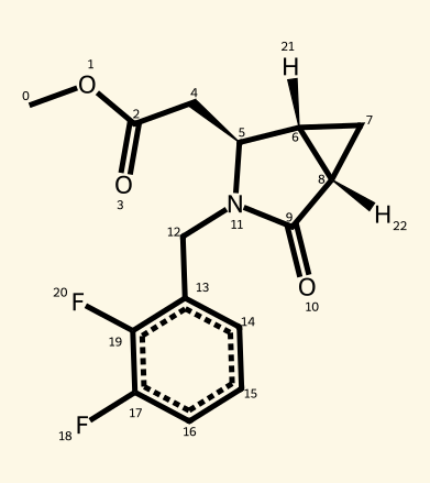 COC(=O)C[C@H]1[C@@H]2C[C@@H]2C(=O)N1Cc1cccc(F)c1F